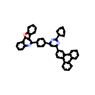 c1ccc(-c2nc(-c3ccc(-c4nc5ccccc5c5oc6ccccc6c45)cc3)cc(-c3ccc4c5ccccc5c5ccccc5c4c3)n2)cc1